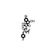 C[C@H](N(Cc1ccc(F)cc1)C(=O)CN1C(=O)NC2(CC(O)c3cc(Br)ccc32)C1=O)C(F)(F)F